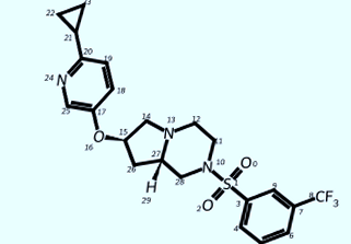 O=S(=O)(c1cccc(C(F)(F)F)c1)N1CCN2C[C@H](Oc3ccc(C4CC4)nc3)C[C@H]2C1